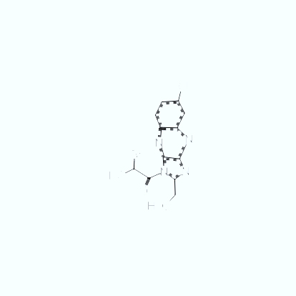 CCc1nc2nc3cc(Cl)ccc3nc2n1C(=O)C(C)Br